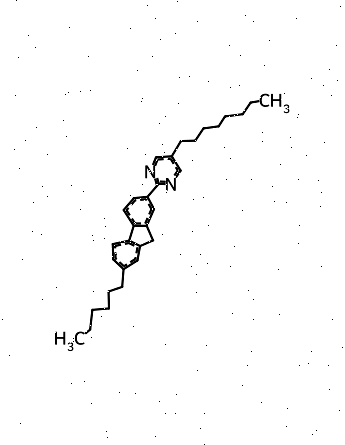 CCCCCCCCc1cnc(-c2ccc3c(c2)Cc2cc(CCCCCC)ccc2-3)nc1